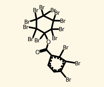 O=C(OC1(Br)C(Br)(Br)C(Br)(Br)C(Br)(Br)C(Br)(Br)C1(Br)Br)c1ccc(Br)c(Br)c1Br